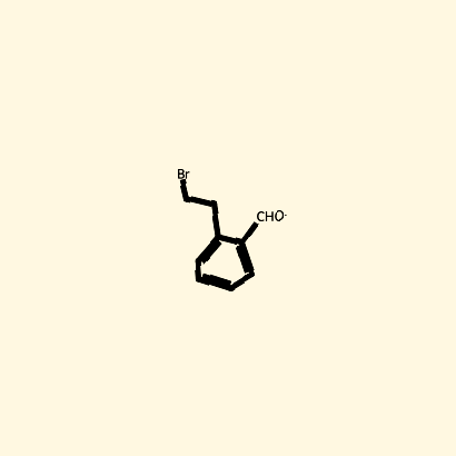 O=[C]c1ccccc1CCBr